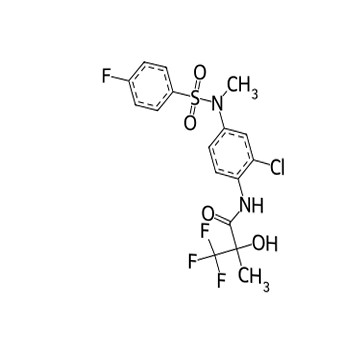 CN(c1ccc(NC(=O)C(C)(O)C(F)(F)F)c(Cl)c1)S(=O)(=O)c1ccc(F)cc1